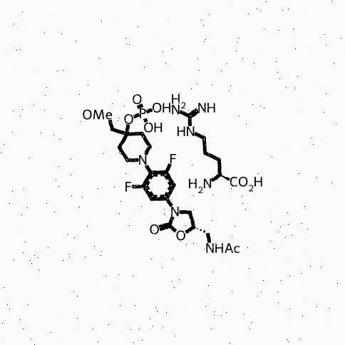 COCC1(OP(=O)(O)O)CCN(c2c(F)cc(N3C[C@H](CNC(C)=O)OC3=O)cc2F)CC1.N=C(N)NCCC[C@H](N)C(=O)O